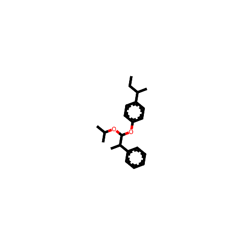 CCC(C)c1ccc(OC(OC(C)C)C(C)c2ccccc2)cc1